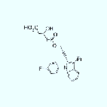 CC(C)c1c(C#CCO[PH](=O)CC(O)CC(=O)O)n(-c2ccc(F)cc2)c2ccccc12